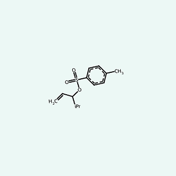 C=CC(OS(=O)(=O)c1ccc(C)cc1)C(C)C